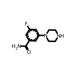 NC(=O)c1cc(F)cc(N2CCNCC2)c1